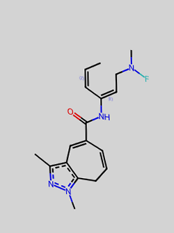 C/C=C\C(=C/CN(C)F)NC(=O)C1=Cc2c(C)nn(C)c2CC=C1